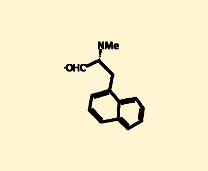 CN[C@@H]([C]=O)Cc1cccc2ccccc12